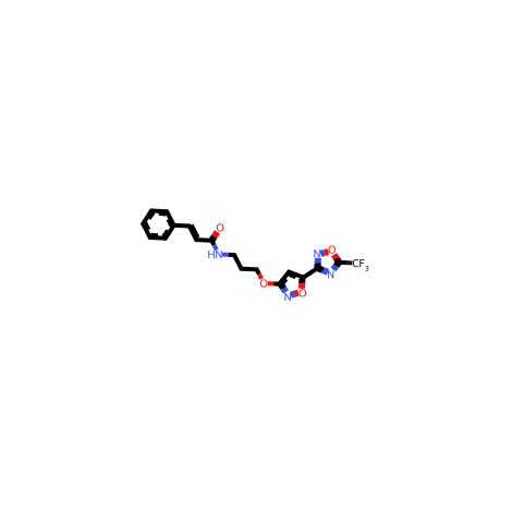 O=C(C=Cc1ccccc1)NCCCOc1cc(-c2noc(C(F)(F)F)n2)on1